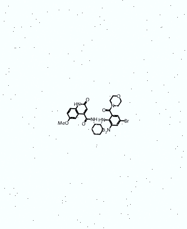 COc1ccc2[nH]c(=O)cc(C(=O)N[C@H]3CCCC[C@H]3Nc3c(C(=O)N4CCOCC4)cc(Br)cc3[N+](=O)[O-])c2c1